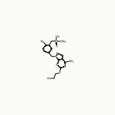 COP(=O)(O)Cc1cc(Cn2ncc3c(N)nc(OCCO)nc32)ccc1Br